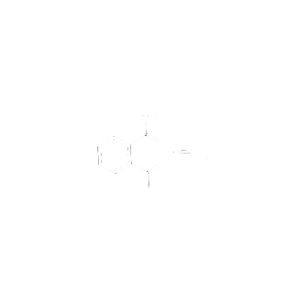 O=C(O)c1ccccc1C(=O)O.O=[SH2]